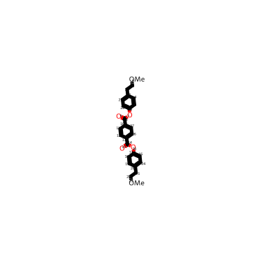 COCCc1ccc(OC(=O)c2ccc(C(=O)Oc3ccc(CCOC)cc3)cc2)cc1